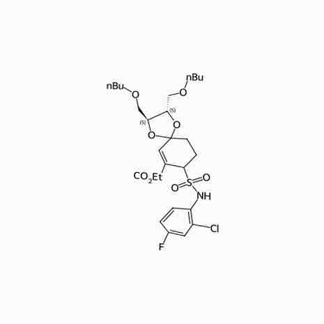 CCCCOC[C@@H]1OC2(C=C(C(=O)OCC)C(S(=O)(=O)Nc3ccc(F)cc3Cl)CC2)O[C@H]1COCCCC